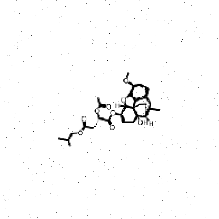 COc1ccc2c3c1O[C@H]1C(OC(=O)[C@H](CC(=O)OCC(C)C)OC(C)=O)=CC[C@@]4(O)[C@@H](C2)N(C)CC[C@]314